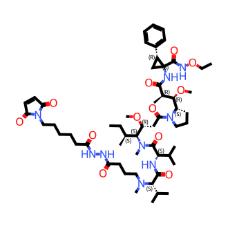 CCONC(=O)[C@]1(NC(=O)[C@H](C)[C@@H](OC)[C@@H]2CCCN2C(=O)C[C@@H](OC)[C@H]([C@@H](C)CC)N(C)C(=O)[C@@H](NC(=O)[C@H](C(C)C)N(C)CCCC(=O)NNC(=O)CCCCCN2C(=O)C=CC2=O)C(C)C)C[C@@H]1c1ccccc1